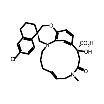 CN1C/C=C/CCCN2C[C@@]3(CCCc4cc(Cl)ccc43)COc3ccc(cc32)[C@](O)(C(=O)O)CC1=O